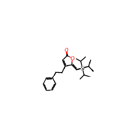 CC(C)[Si](/C=C1\OC(=O)C=C1CCc1ccccc1)(C(C)C)C(C)C